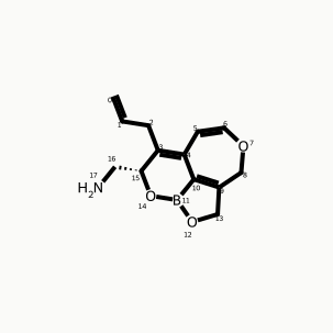 C=CCC1=C2C=COCC3=C2B(OC3)O[C@@H]1CN